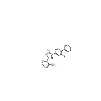 Fc1cc(-c2nc(-c3ncccc3C(F)(F)F)n[nH]2)ccc1-c1ccccc1